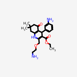 CCOC(=O)C1=C(COCCN)NC2=C(C(=O)CC(C)(C)C2)C1c1cccc(N)c1